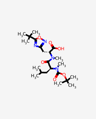 CC(C)C[C@@H](C(=O)N(C)[C@H](Cc1noc(C(C)(C)C)n1)C(=O)O)N(C)C(=O)OC(C)(C)C